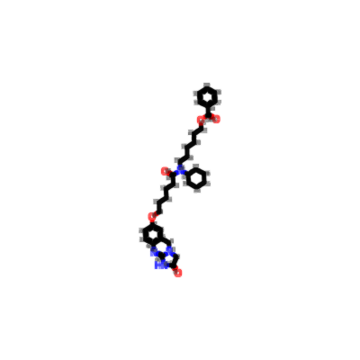 O=C1CN2Cc3cc(OCCCCCC(=O)N(CCCCCCOC(=O)c4ccccc4)C4CCCCC4)ccc3N=C2N1